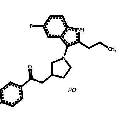 CCCc1[nH]c2ccc(F)cc2c1N1CCC(CC(=O)c2ccc(F)cc2)C1.Cl